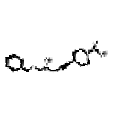 O=C(O)N1CCC(C#CC[C@@H](O)COCc2ccccc2)CC1